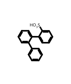 O=S(=O)(O)c1ccccc1-c1ccccc1-c1ccccc1